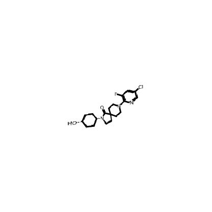 O=C1N([C@H]2CC[C@@H](O)CC2)CCC12CCN(c1ncc(Cl)cc1F)CC2